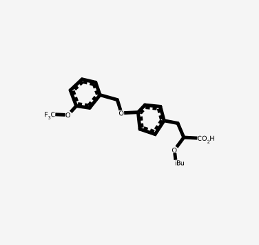 CCC(C)OC(Cc1ccc(OCc2cccc(OC(F)(F)F)c2)cc1)C(=O)O